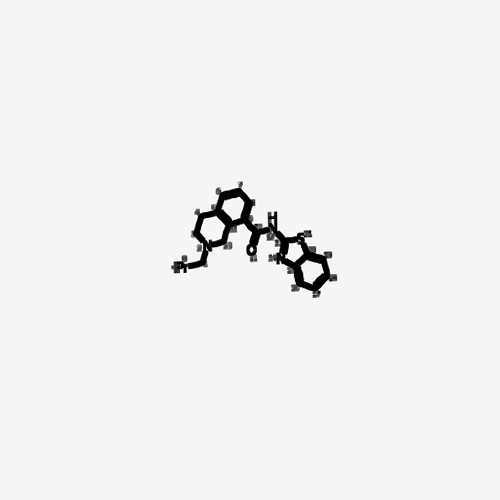 C[C](C)CN1CCc2cccc(C(=O)Nc3nc4ccccc4s3)c2C1